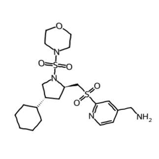 NCc1ccnc(S(=O)(=O)C[C@H]2C[C@H](C3CCCCC3)CN2S(=O)(=O)N2CCOCC2)c1